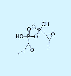 C[C@H]1O[C@H]1P(=O)(O)OP(=O)(O)[C@@H]1O[C@@H]1C